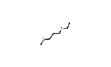 CCSCCCSC